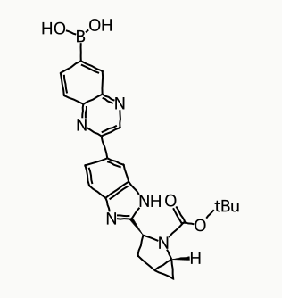 CC(C)(C)OC(=O)N1[C@@H]2CC2C[C@H]1c1nc2ccc(-c3cnc4cc(B(O)O)ccc4n3)cc2[nH]1